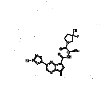 CCn1cc(-c2cnc3[nH]cc(C(=O)N[C@@H](C(=O)N4CCC(F)(C#N)C4)C(C)(C)C)c3n2)cn1